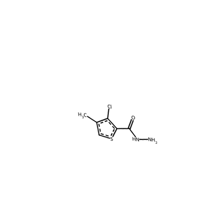 Cc1csc(C(=O)NN)c1Cl